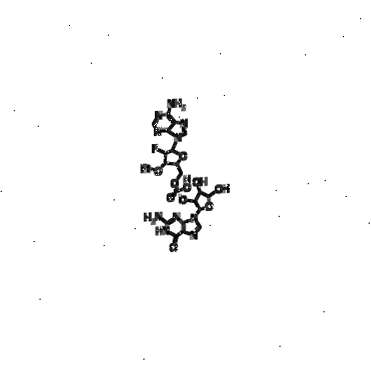 CCOC1C(COP(=O)(O)OC2C(O)C(O)OC2n2cnc3c(=O)[nH]c(N)nc32)OC(n2cnc3c(N)ncnc32)C1F